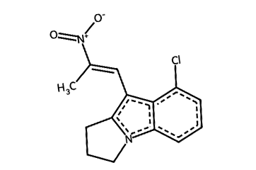 C/C(=C\c1c2n(c3cccc(Cl)c13)CCC2)[N+](=O)[O-]